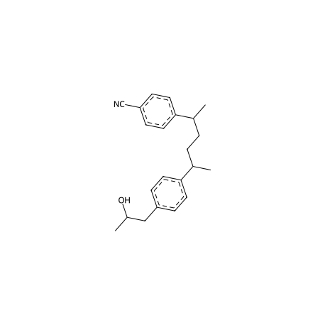 CC(O)Cc1ccc(C(C)CCC(C)c2ccc(C#N)cc2)cc1